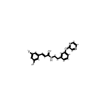 O=C(C=Cc1cc(F)cc(F)c1)NCCc1cccc(Oc2cnccn2)c1